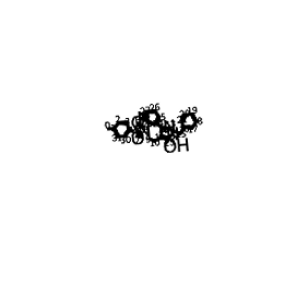 Cc1ccc(S(=O)(=O)N2CCc3c(nn(Cc4ccccc4)c3O)-c3cccnc32)cc1